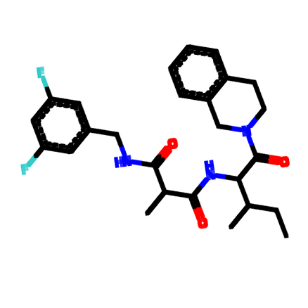 CCC(C)C(NC(=O)C(C)C(=O)NCc1cc(F)cc(F)c1)C(=O)N1CCc2ccccc2C1